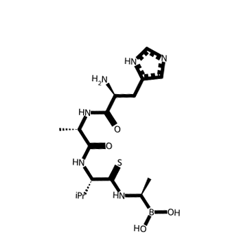 CC(C)[C@H](NC(=O)[C@H](C)NC(=O)[C@@H](N)Cc1cnc[nH]1)C(=S)N[C@@H](C)B(O)O